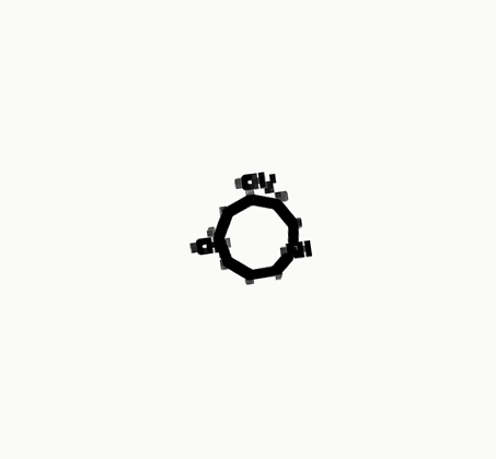 [CH2].[CH2].[CH]1CCCCCNCC1